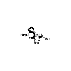 CC(C)(C)OC(=O)N[C@@H](C(=O)OC(C)(C)C)[C@H]1CCC[C@H]1N=[N+]=[N-]